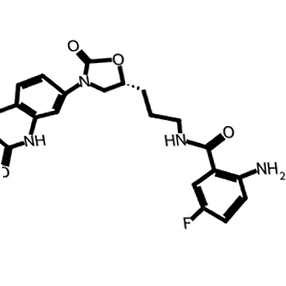 Nc1ccc(F)cc1C(=O)NCCC[C@@H]1CN(c2ccc3c(c2)NC(=O)CS3)C(=O)O1